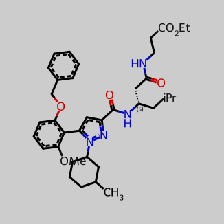 CCOC(=O)CCNC(=O)C[C@H](CC(C)C)NC(=O)c1cc(-c2c(OC)cccc2OCc2ccccc2)n(C2CCCC(C)C2)n1